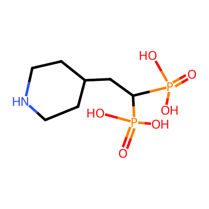 O=P(O)(O)C(CC1CCNCC1)P(=O)(O)O